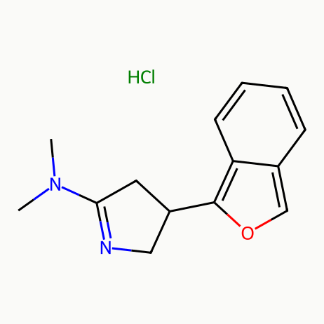 CN(C)C1=NCC(c2occ3ccccc23)C1.Cl